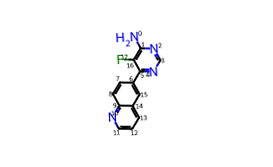 Nc1ncnc(-c2ccc3ncccc3c2)c1F